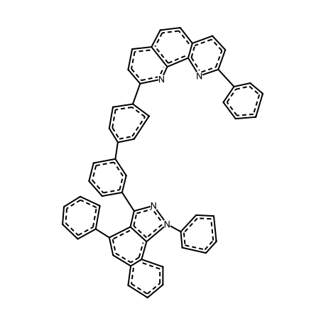 c1ccc(-c2ccc3ccc4ccc(-c5ccc(-c6cccc(-c7nn(-c8ccccc8)c8c7c(-c7ccccc7)cc7ccccc78)c6)cc5)nc4c3n2)cc1